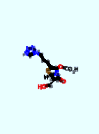 O=C(O)OC1=C(CCCn2cnnn2)S[C@@H]2[C@@H](CO)C(=O)N12